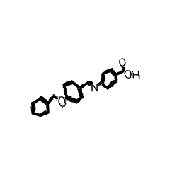 O=C(O)c1ccc(N=Cc2ccc(OCc3ccccc3)cc2)cc1